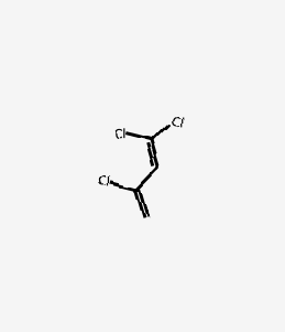 C=C(Cl)C=C(Cl)Cl